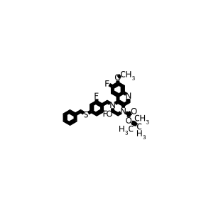 COc1cc2ncc3c(c2cc1F)N(Cc1c(F)cc(SCc2ccccc2)cc1F)C(=O)CN3C(=O)OC(C)(C)C